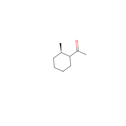 CC(=O)C1CCCC[C@H]1C